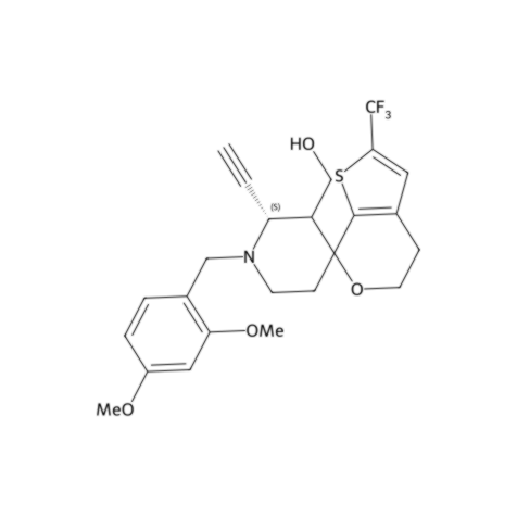 C#C[C@@H]1C(CO)C2(CCN1Cc1ccc(OC)cc1OC)OCCc1cc(C(F)(F)F)sc12